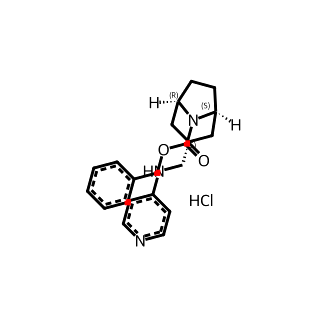 Cl.O=C(OCc1ccccc1)N1[C@@H]2CC[C@H]1C[C@H](CNc1ccncc1)C2